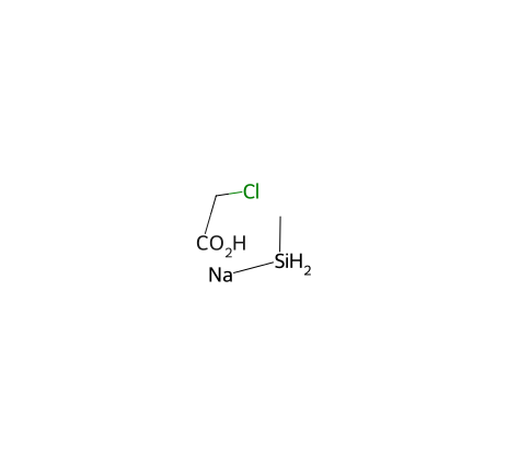 C[SiH2][Na].O=C(O)CCl